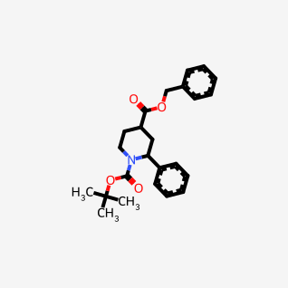 CC(C)(C)OC(=O)N1CCC(C(=O)OCc2ccccc2)CC1c1ccccc1